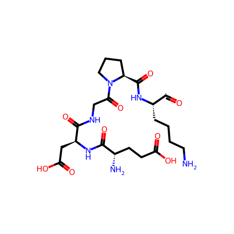 NCCCC[C@@H]([C]=O)NC(=O)[C@@H]1CCCN1C(=O)CNC(=O)[C@H](CC(=O)O)NC(=O)[C@@H](N)CCC(=O)O